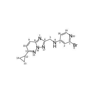 Brc1cc(NCc2nc3ccc(C4CC4)nn3n2)ccn1